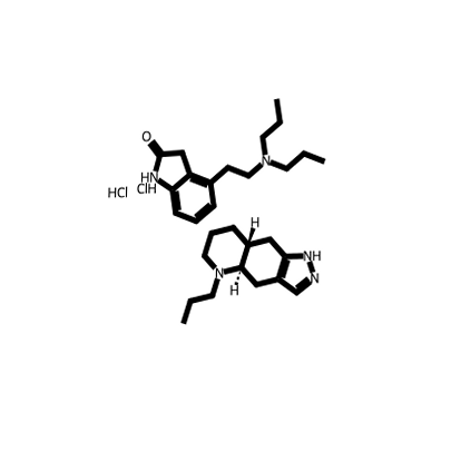 CCCN(CCC)CCc1cccc2c1CC(=O)N2.CCCN1CCC[C@@H]2Cc3[nH]ncc3C[C@H]21.Cl.Cl